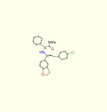 CNC(=O)[C@H](N[C@@H](CCc1ccc(Cl)cc1)c1ccc2c(c1)CCO2)c1ccccc1